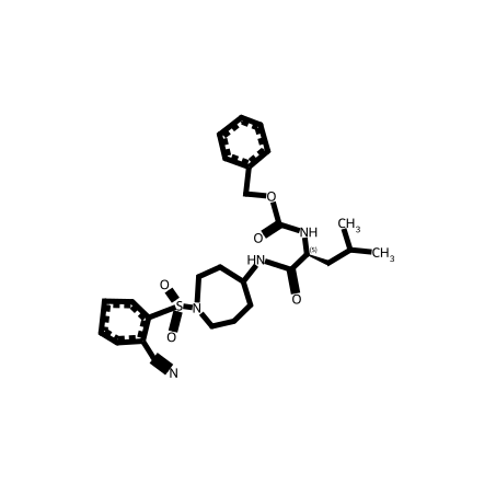 CC(C)C[C@H](NC(=O)OCc1ccccc1)C(=O)NC1CCCN(S(=O)(=O)c2ccccc2C#N)CC1